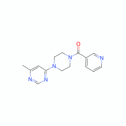 Cc1cc(N2CCN(C(=O)c3cccnc3)CC2)ncn1